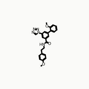 COc1ccc(CCNC(=O)c2cc(-c3ccccc3OC)cc(-n3cnnn3)c2)cc1